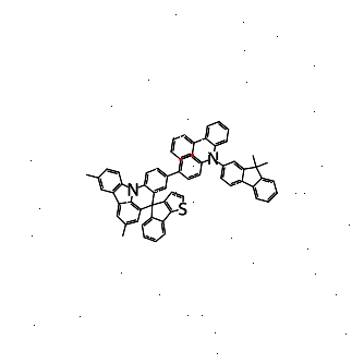 Cc1ccc2c(c1)c1cc(C)cc3c1n2-c1ccc(-c2ccc(N(c4ccc5c(c4)C(C)(C)c4ccccc4-5)c4ccccc4-c4ccccc4)cc2)cc1C31c2ccccc2-c2sccc21